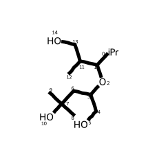 CC(C)C(OC(CO)CC(C)(C)O)C(C)CO